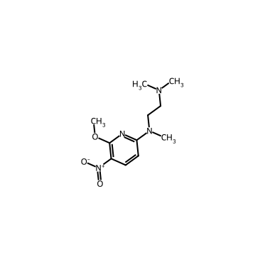 COc1nc(N(C)CCN(C)C)ccc1[N+](=O)[O-]